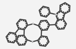 c1ccc(-c2cccc3c2-c2ccccc2Sc2ccccc2-c2cc(-c4cccc5c6ccccc6n(-c6ccccc6)c45)ccc2S3)cc1